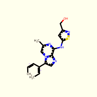 C/C=C\C(=C/C)c1cnc2c(Nc3cc(CO)ns3)nc(C)cn12